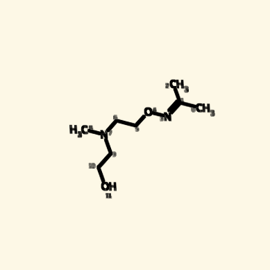 CC(C)=NOCCN(C)CCO